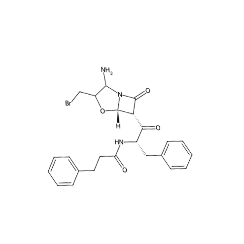 NC1C(CBr)O[C@H]2[C@@H](C(=O)[C@H](Cc3ccccc3)NC(=O)CCc3ccccc3)C(=O)N12